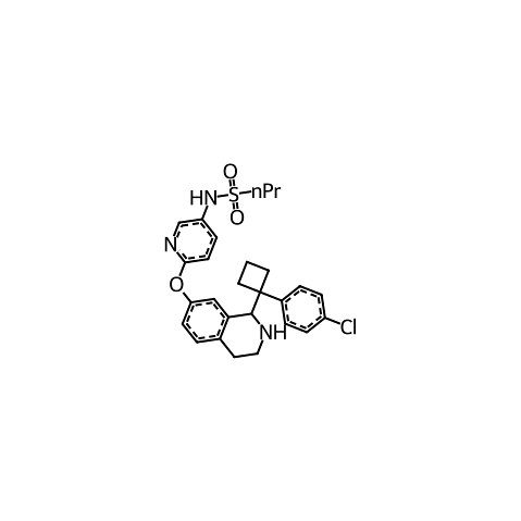 CCCS(=O)(=O)Nc1ccc(Oc2ccc3c(c2)C(C2(c4ccc(Cl)cc4)CCC2)NCC3)nc1